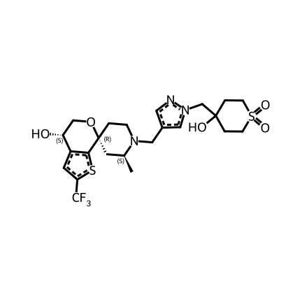 C[C@H]1C[C@@]2(CCN1Cc1cnn(CC3(O)CCS(=O)(=O)CC3)c1)OC[C@@H](O)c1cc(C(F)(F)F)sc12